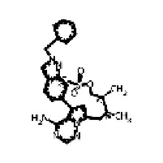 C[C@H](COS(C)(=O)=O)[C@@H](C)Cc1cc(-c2ccc3cn(Cc4ccccc4)nc3c2)c2c(N)ncnn12